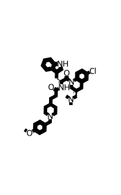 COc1ccc(CN2CCC(CCC(=O)N[C@H](Cc3c[nH]c4ccccc34)C(=O)N3C[C@H](CN(C)C)Cc4cc(Cl)ccc43)CC2)cc1